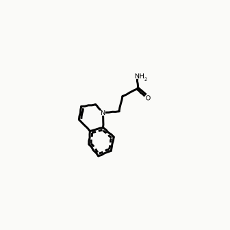 NC(=O)CCN1CC=Cc2ccccc21